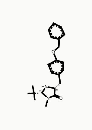 CN1C(=O)[C@@H](Cc2ccc(OCc3ccccc3)cc2)N[C@H]1C(C)(C)C